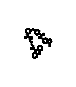 O=C(Nc1ccc2[nH]ccc2c1)c1ccc(CN2CCC[C@H](C(=O)NCCCCNc3c4c(nc5ccccc35)CCCC4)C2)cc1